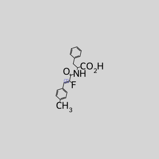 Cc1ccc(/C=C(\F)C(=O)NC(Cc2ccccc2)C(=O)O)cc1